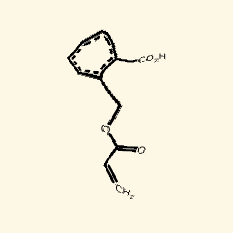 C=CC(=O)OCc1ccccc1C(=O)O